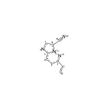 C=Cc1ccc2ncc(C#N)n2n1